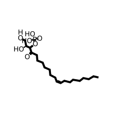 CCCCCCCC/C=C\CCCCCCCC(=O)C(OP(=O)(O)O)[C@@H](O)CO